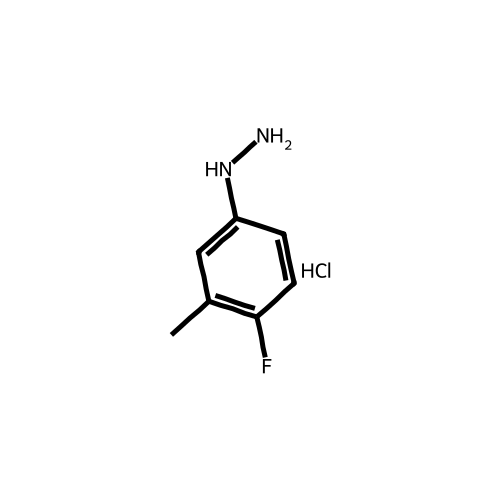 Cc1cc(NN)ccc1F.Cl